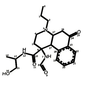 CCCN1C[CH]C(NC=O)(C(=O)NC(C)CO)C2c3ccccc3C(=O)CC21